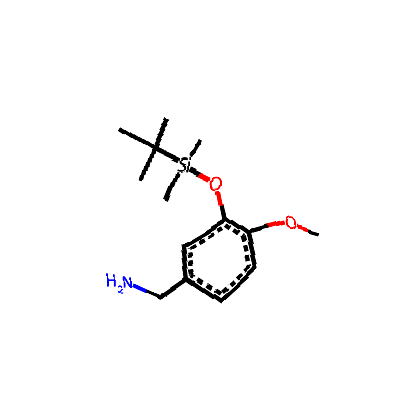 COc1ccc(CN)cc1O[Si](C)(C)C(C)(C)C